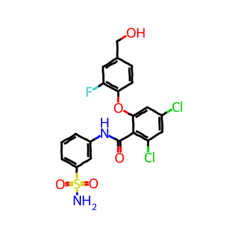 NS(=O)(=O)c1cccc(NC(=O)c2c(Cl)cc(Cl)cc2Oc2ccc(CO)cc2F)c1